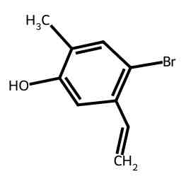 C=Cc1cc(O)c(C)cc1Br